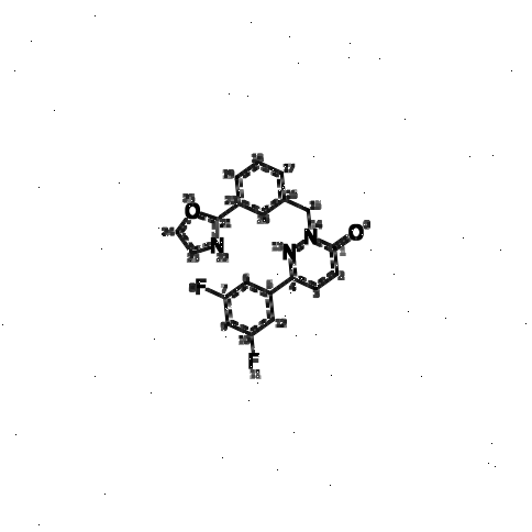 O=c1ccc(-c2cc(F)cc(F)c2)nn1Cc1cccc(-c2ncco2)c1